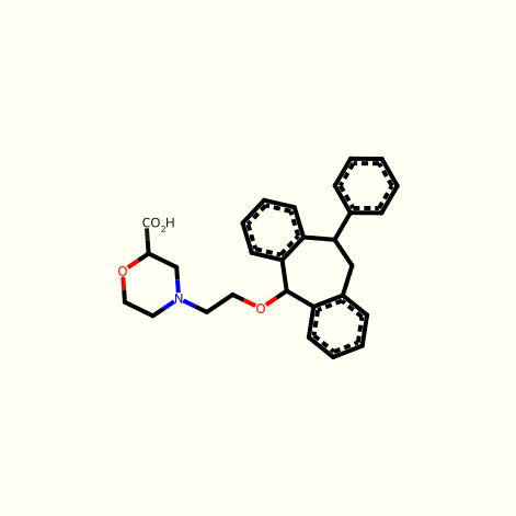 O=C(O)C1CN(CCOC2c3ccccc3CC(c3ccccc3)c3ccccc32)CCO1